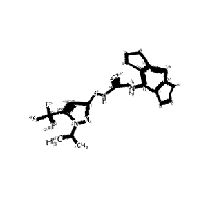 CC(C)n1nc(SNC(=O)Nc2c3c(cc4c2CCC4)CCC3)cc1C(F)(F)F